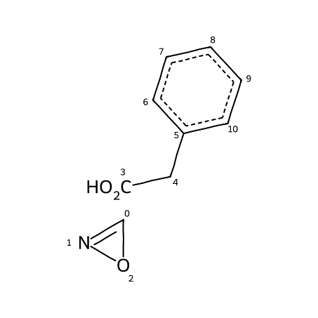 C1=NO1.O=C(O)Cc1ccccc1